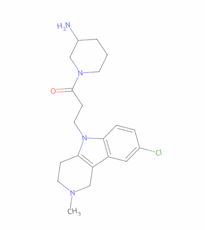 CN1CCc2c(c3cc(Cl)ccc3n2CCC(=O)N2CCCC(N)C2)C1